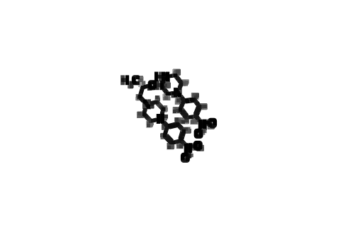 C[C@H](O)CN1CCN(c2ccc([N+](=O)[O-])cc2)CC1.O=[N+]([O-])c1ccc(N2CCNCC2)cc1